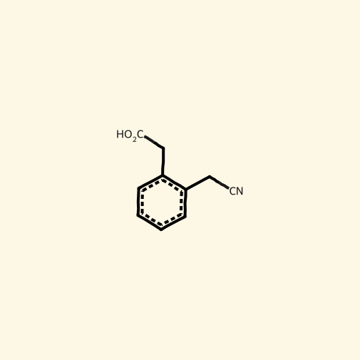 N#CCc1ccccc1CC(=O)O